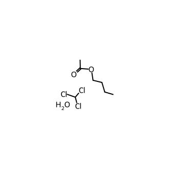 CCCCOC(C)=O.ClC(Cl)Cl.O